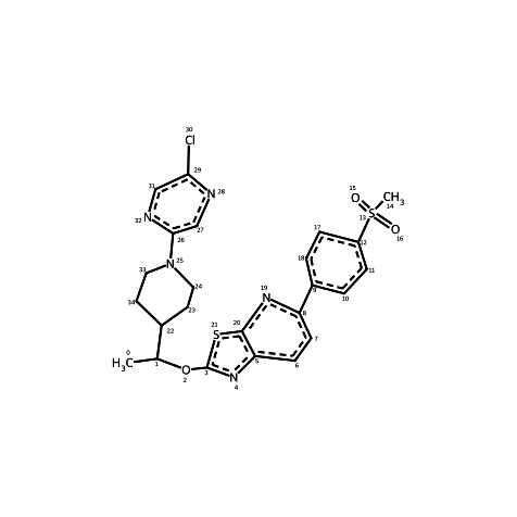 CC(Oc1nc2ccc(-c3ccc(S(C)(=O)=O)cc3)nc2s1)C1CCN(c2cnc(Cl)cn2)CC1